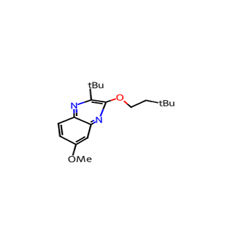 COc1ccc2nc(C(C)(C)C)c(OCCC(C)(C)C)nc2c1